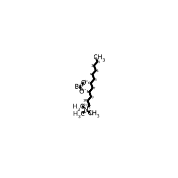 CCCCCCCCCCCC[N+](C)(C)C.[O-][Br+][O-]